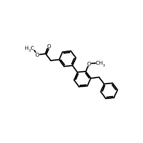 COC(=O)Cc1cccc(-c2cccc(Cc3ccccc3)c2OC)c1